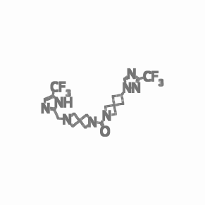 O=C(N1CC2(CC(n3cnc(C(F)(F)F)n3)C2)C1)N1CC2(CN(Cc3ncc(C(F)(F)F)[nH]3)C2)C1